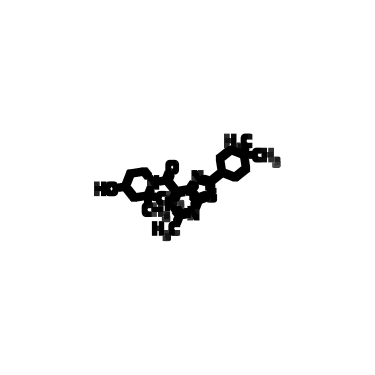 Cc1nc(C(=O)N2CCC(O)CC2(C)C)c2nc(C3CCC(C)(C)CC3)sc2n1